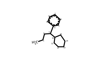 CCCC(c1ccccc1)C1CCCCC1